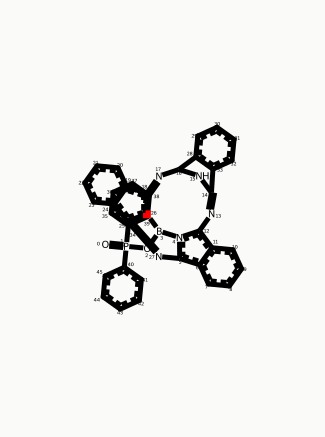 O=P(OB1n2c3c4ccccc4c2/N=C2\NC(/N=c4/c5ccccc5c(n41)=N3)c1ccccc12)(c1ccccc1)c1ccccc1